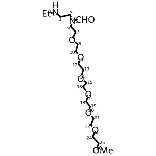 CCNCCN(C=O)CCOCCOCCOCCOCCOCCOCCOC